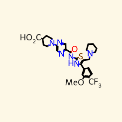 COc1cc(-c2nc(NC(=O)c3cnc(N4CCC(C(=O)O)CC4)cn3)sc2CN2CCCCC2)ccc1C(F)(F)F